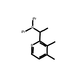 Cc1ccbc(C(C)N(C(C)C)C(C)C)c1C